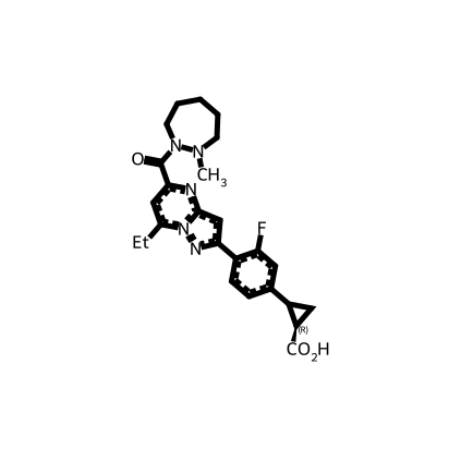 CCc1cc(C(=O)N2CCCCCN2C)nc2cc(-c3ccc(C4C[C@H]4C(=O)O)cc3F)nn12